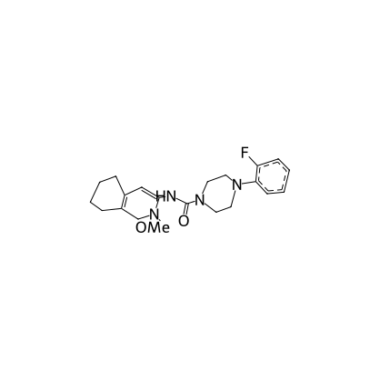 CON1CC2=C(C=C1NC(=O)N1CCN(c3ccccc3F)CC1)CCCC2